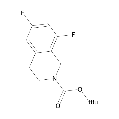 CC(C)(C)OC(=O)N1CCc2cc(F)cc(F)c2C1